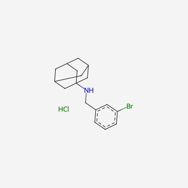 Brc1cccc(CNC23CC4CC(CC(C4)C2)C3)c1.Cl